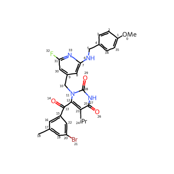 COc1ccc(CNc2cc(Cn3c(C(=O)c4cc(C)cc(Br)c4)c(C(C)C)c(=O)[nH]c3=O)cc(F)n2)cc1